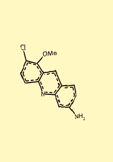 COc1c(Cl)ccc2nc3cc(N)ccc3cc12